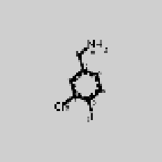 NCc1[c]cc(I)c(Cl)c1